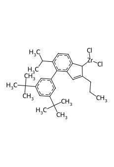 CCCC1=Cc2c(ccc(C(C)C)c2-c2cc(C(C)(C)C)cc(C(C)(C)C)c2)[CH]1[Zr]([Cl])[Cl]